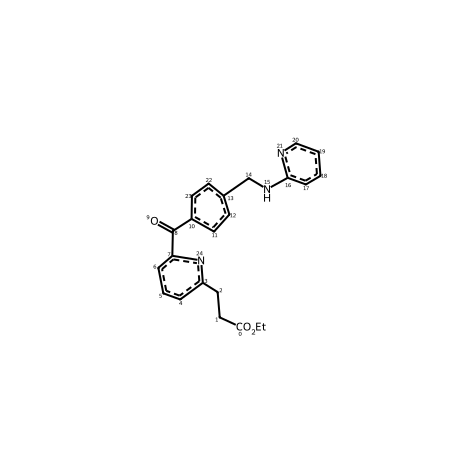 CCOC(=O)CCc1cccc(C(=O)c2ccc(CNc3ccccn3)cc2)n1